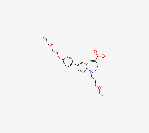 CCCOCCOc1ccc(-c2ccc3c(c2)C=C(C(=O)O)CCN3CCCOCC)cc1